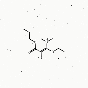 CCCOC(=O)C(C)=C(OCC)[SiH](C)C